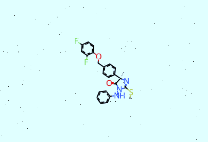 CSC1=N[C@](C)(c2ccc(COc3ccc(F)cc3F)cc2)C(=O)N1Nc1ccccc1